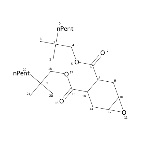 CCCCCC(C)(C)COC(=O)C1CC2OC2CC1C(=O)OCC(C)(C)CCCCC